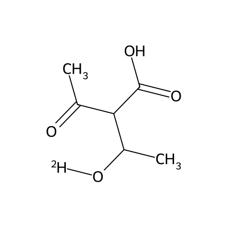 [2H]OC(C)C(C(C)=O)C(=O)O